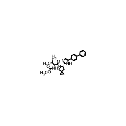 COC(=O)N[C@H](C(=O)N1CC2(CC2)C[C@H]1c1ncc(-c2ccc(-c3ccccc3)cc2)[nH]1)C(C)C